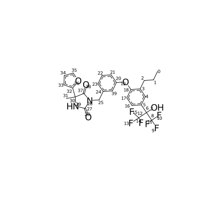 CCCc1cc(C(O)(C(F)(F)F)C(F)(F)F)ccc1Oc1cccc(CN2C(=O)NC(C)(c3ccco3)C2=O)c1